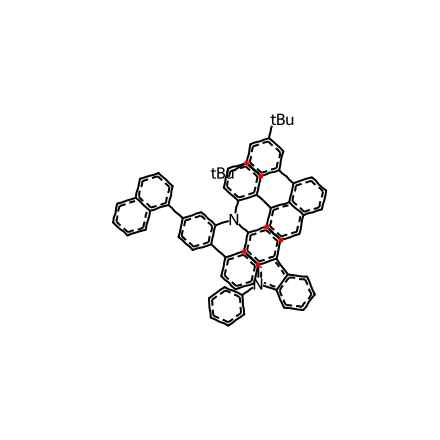 CC(C)(C)c1cc(-c2cccc3cccc(-c4ccccc4N(c4ccc5c6ccccc6n(-c6ccccc6)c5c4)c4cc(-c5cccc6ccccc56)ccc4-c4ccccc4)c23)cc(C(C)(C)C)c1